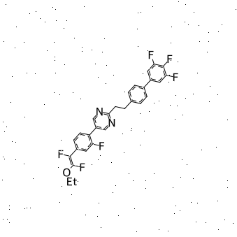 CCO/C(F)=C(\F)c1ccc(-c2cnc(CCc3ccc(-c4cc(F)c(F)c(F)c4)cc3)nc2)c(F)c1